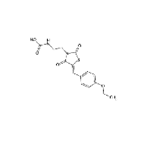 CCOc1ccc(/C=C2\SC(=O)N(CCNC(=O)O)C2=O)cc1